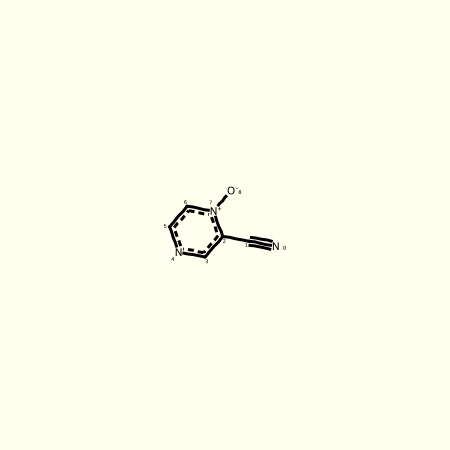 N#Cc1cncc[n+]1[O-]